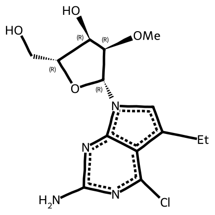 CCc1cn([C@@H]2O[C@H](CO)[C@@H](O)[C@H]2OC)c2nc(N)nc(Cl)c12